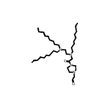 CCCCCCCCCN(CCCCCCCCC)CCN(CCCCCCCCC)CC(=O)N1CCN(CC=O)CC1